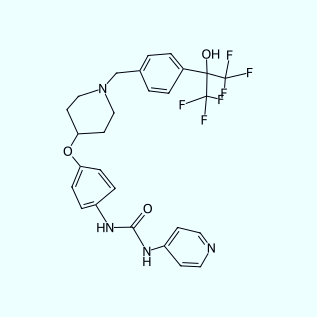 O=C(Nc1ccncc1)Nc1ccc(OC2CCN(Cc3ccc(C(O)(C(F)(F)F)C(F)(F)F)cc3)CC2)cc1